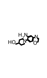 Nc1cc2c(cc1N1CCC(CO)CC1)OCC=N2